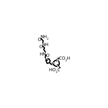 NC(=O)CCNC(=O)CCCNC(=O)CN1CCC(CN2CCN(CC(=O)O)CCN(CC(=O)O)CC2)CC1